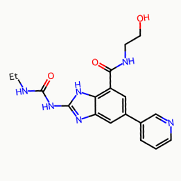 CCNC(=O)Nc1nc2cc(-c3cccnc3)cc(C(=O)NCCO)c2[nH]1